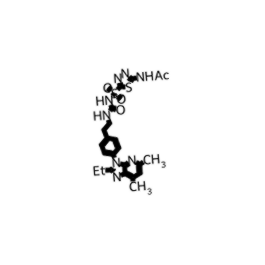 CCc1nc2c(C)cc(C)nc2n1-c1ccc(CCNC(=O)NS(=O)(=O)c2nnc(NC(C)=O)s2)cc1